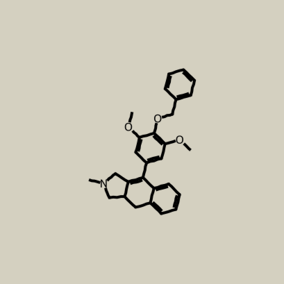 COc1cc(C2=C3CN(C)CC3Cc3ccccc32)cc(OC)c1OCc1ccccc1